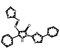 O=c1c(N=Nc2nccs2)c(-c2ccccc2)[nH]n1-c1nc(-c2ccccc2)cs1